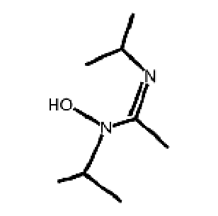 CC(=NC(C)C)N(O)C(C)C